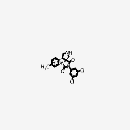 Cc1ccc([C@@H]2CNC[C@]23C(=O)N(c2cc(Cl)cc(Cl)c2)C(=O)N3C)cc1